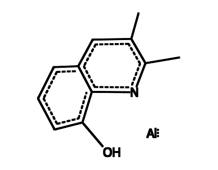 Cc1cc2cccc(O)c2nc1C.[Al]